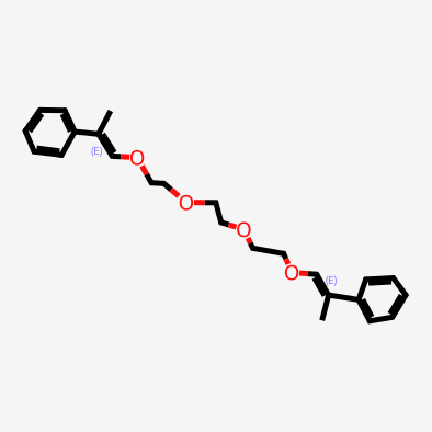 C/C(=C\OCCOCCOCCO/C=C(\C)c1ccccc1)c1ccccc1